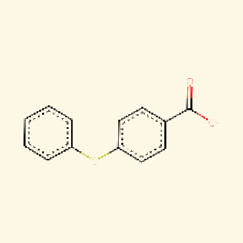 [O]C(=O)c1ccc(Sc2ccccc2)cc1